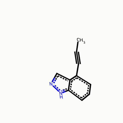 CC#Cc1cccc2[nH]ncc12